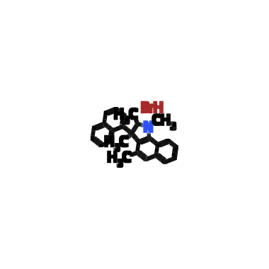 Br.Cc1cc2ccccc2c2c1C(C)(c1cccc3ccccc13)C(C)N2C